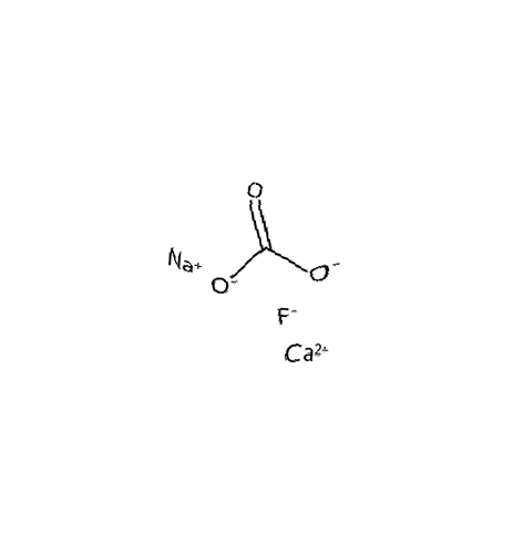 O=C([O-])[O-].[Ca+2].[F-].[Na+]